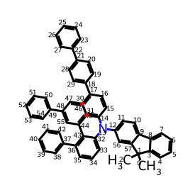 CC1(C)c2ccccc2-c2ccc(N(c3ccc(-c4ccc(-c5ccccc5)cc4)cc3)c3cccc(-c4ccccc4)c3-c3cccc(-c4ccccc4)c3)cc21